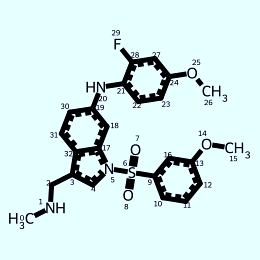 CNCc1cn(S(=O)(=O)c2cccc(OC)c2)c2cc(Nc3ccc(OC)cc3F)ccc12